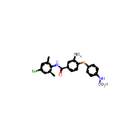 Cc1cc(Br)cc(C)c1NC(=O)c1ccc(Sc2ccc(NC(=O)O)cc2)c([N+](=O)[O-])c1